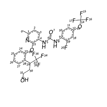 Cc1ccc(NC(=O)Nc2ccc(OC(F)(F)F)cc2F)c(Oc2ccccc2C(CCO)C(F)(F)F)n1